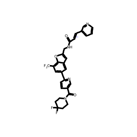 O=C(/C=C/c1cccnc1)NCc1cc2cc(-c3ccc(C(=O)N4CCC(F)(F)CC4)cn3)cc(C(F)(F)F)c2o1